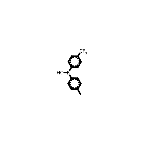 Cc1ccc(B(O)c2ccc(C(F)(F)F)cc2)cc1